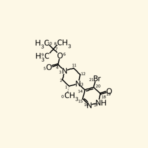 C[C@@H]1CN(C(=O)OC(C)(C)C)CCN1c1cn[nH]c(=O)c1Br